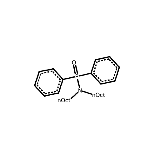 CCCCCCCCN(CCCCCCCC)P(=O)(c1ccccc1)c1ccccc1